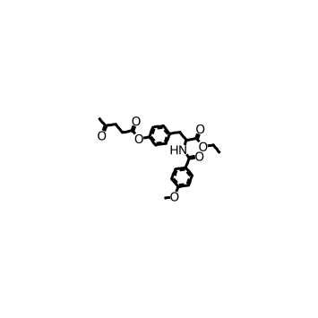 CCOC(=O)C(Cc1ccc(OC(=O)CCC(C)=O)cc1)NC(=O)c1ccc(OC)cc1